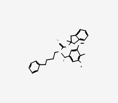 CCOc1cc([C@@H](C)N(CCCCc2ccccc2)C(=O)NC2(C(=O)O)Cc3ccccc3C2)cc(OCC)c1C